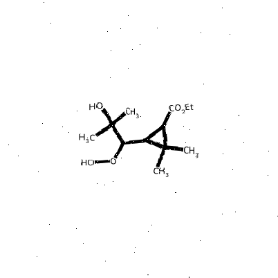 CCOC(=O)C1C(C(OO)C(C)(C)O)C1(C)C